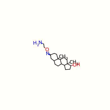 C[C@]12CC/C(=N\OCCN)CC1CCC1C2CC[C@@]2(C)C1CC[C@@H]2O